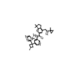 CC1CC(c2cncc(NC(=O)c3cc(CNC4(C)CC4)c4c(n3)C(C)(C)CC4)c2)(c2nncn2C)C1